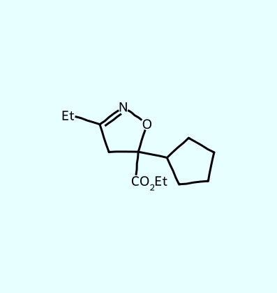 CCOC(=O)C1(C2CCCC2)CC(CC)=NO1